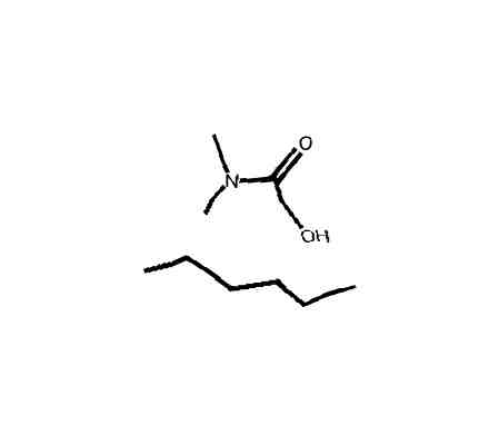 CCCCCC.CN(C)C(=O)O